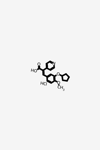 COc1ccc(/C=C(/C(=O)O)c2ccncc2)cc1OC1CCCC1.Cl